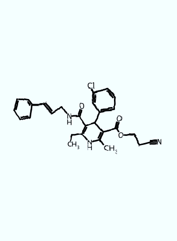 CCC1=C(C(=O)NCC=Cc2ccccc2)C(c2cccc(Cl)c2)C(C(=O)OCCC#N)=C(C)N1